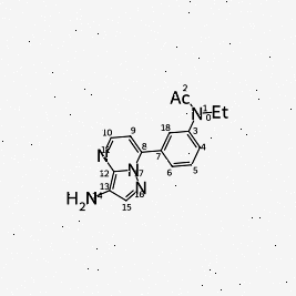 CCN(C(C)=O)c1cccc(-c2ccnc3c(N)cnn23)c1